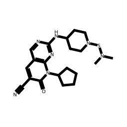 CN(C)SN1CCC(Nc2ncc3cc(C#N)c(=O)n(C4CCCC4)c3n2)CC1